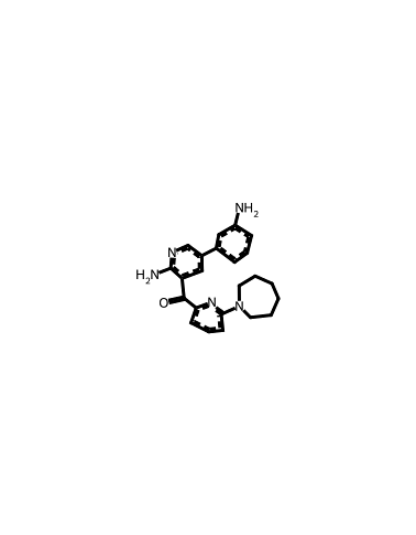 Nc1cccc(-c2cnc(N)c(C(=O)c3cccc(N4CCCCCC4)n3)c2)c1